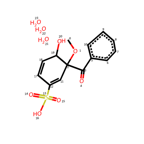 COC1(C(=O)c2ccccc2)C=C(S(=O)(=O)O)C=CC1O.O.O.O